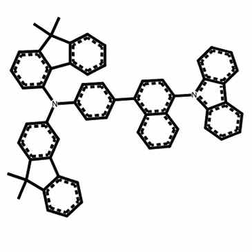 CC1(C)c2ccccc2-c2cc(N(c3ccc(-c4ccc(-n5c6ccccc6c6ccccc65)c5ccccc45)cc3)c3cccc4c3-c3ccccc3C4(C)C)ccc21